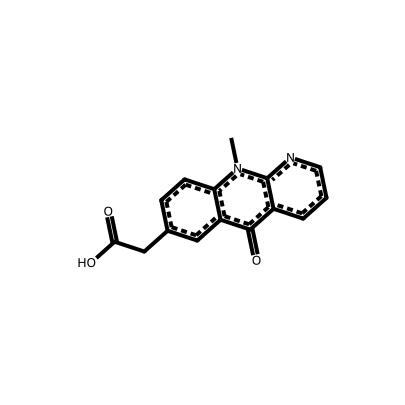 Cn1c2ccc(CC(=O)O)cc2c(=O)c2cccnc21